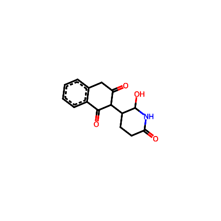 O=C1CCC(C2C(=O)Cc3ccccc3C2=O)C(O)N1